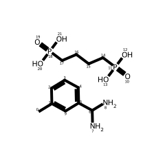 Cc1cccc(C(N)N)c1.O=P(O)(O)CCCCP(=O)(O)O